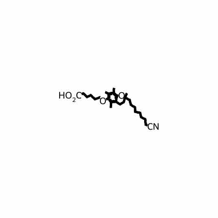 Cc1c(C)c2c(c(C)c1OCCCCCC(=O)O)CCC(C)(CCCCCCCCC#N)O2